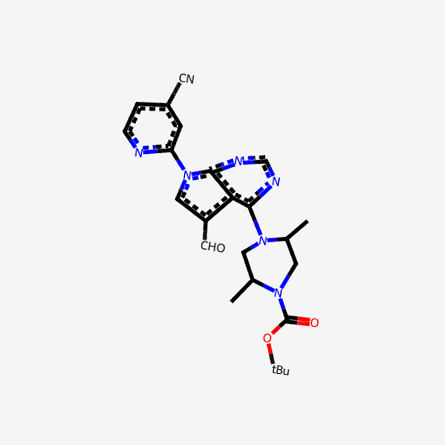 CC1CN(c2ncnc3c2c(C=O)cn3-c2cc(C#N)ccn2)C(C)CN1C(=O)OC(C)(C)C